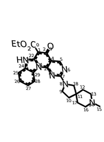 CCOC(=O)c1c(=O)c2cnc(N3CCC4(CCN(C)CC4)C3)nc2n2c1[nH]c1ccccc12